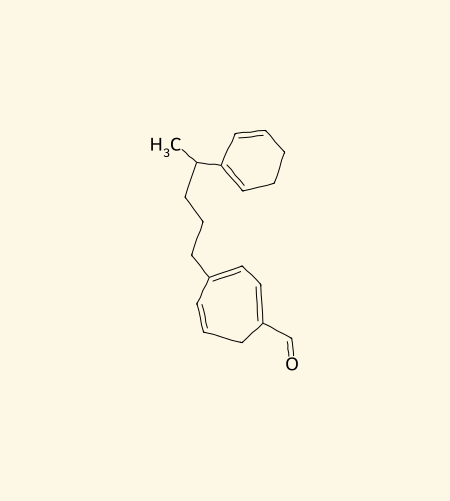 CC(CCCC1=CC=C(C=O)CC=C1)C1=CCCC=C1